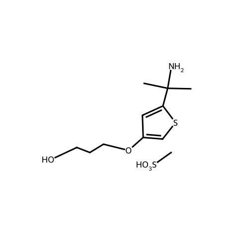 CC(C)(N)c1cc(OCCCO)cs1.CS(=O)(=O)O